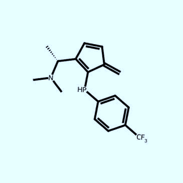 C=C1C=CC([C@@H](C)N(C)C)=C1Pc1ccc(C(F)(F)F)cc1